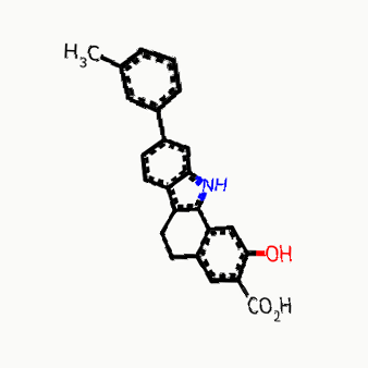 Cc1cccc(-c2ccc3c4c([nH]c3c2)-c2cc(O)c(C(=O)O)cc2CC4)c1